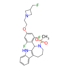 CS(=O)(=O)N1CCCc2c([nH]c3ccccc23)C1c1c(F)cc(OCCN2CC(CF)C2)cc1F